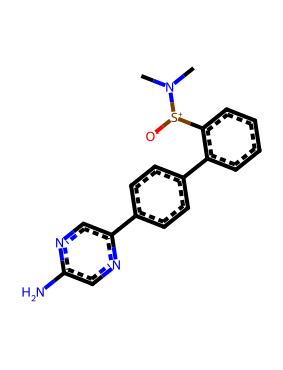 CN(C)[S+]([O-])c1ccccc1-c1ccc(-c2cnc(N)cn2)cc1